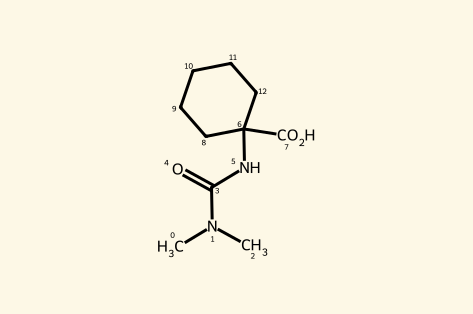 CN(C)C(=O)NC1(C(=O)O)CCCCC1